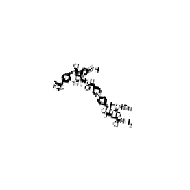 Cc1ncsc1-c1ccc(CNC(=O)[C@@H]2C[C@@H](O)CN2C(=O)[C@@H](NC(=O)CC2CCN(c3ccc(CO[C@H](C)[C@H](CCC(N)=O)NC(=O)OC(C)(C)C)cc3)CC2)C(C)(C)C)cc1